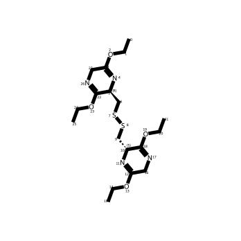 CCOC1=N[C@@H](CSSC[C@H]2N=C(OCC)CN=C2OCC)C(OCC)=NC1